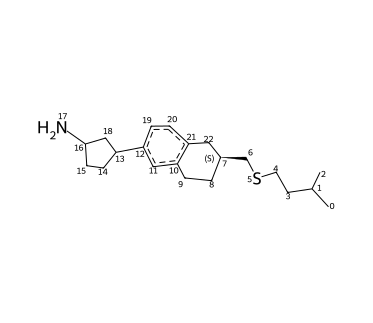 CC(C)CCSC[C@H]1CCc2cc(C3CCC(N)C3)ccc2C1